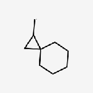 [CH2]C1CC12CCCCC2